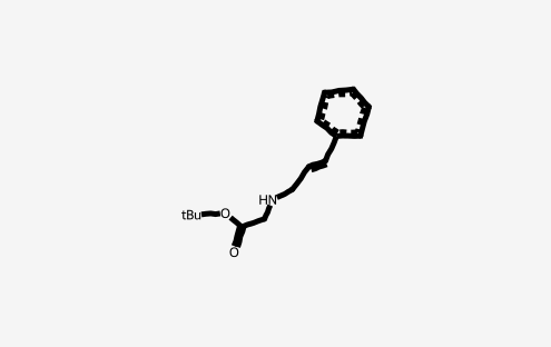 CC(C)(C)OC(=O)CNCC=Cc1ccccc1